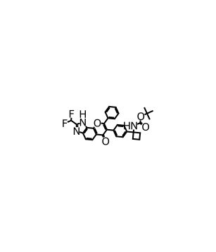 CC(C)(C)OC(=O)NC1(c2ccc(-c3c(-c4ccccc4)oc4c(ccc5nc(C(F)F)[nH]c54)c3=O)cc2)CCC1